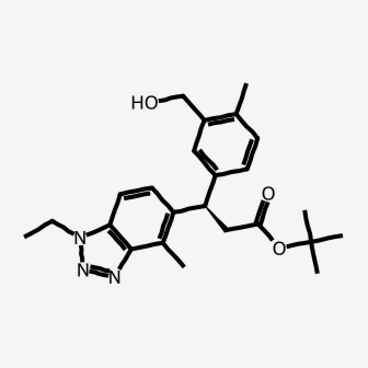 CCn1nnc2c(C)c([C@H](CC(=O)OC(C)(C)C)c3ccc(C)c(CO)c3)ccc21